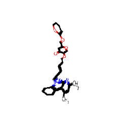 Cc1cc(C)c2c3c(n(CCCCCOc4coc(COC5CCCCO5)cc4=O)c2n1)CCCC3